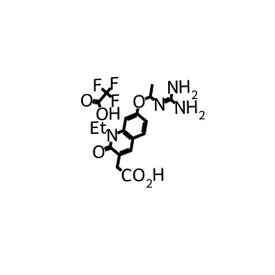 CCn1c(=O)c(CC(=O)O)cc2ccc(OC(C)N=C(N)N)cc21.O=C(O)C(F)(F)F